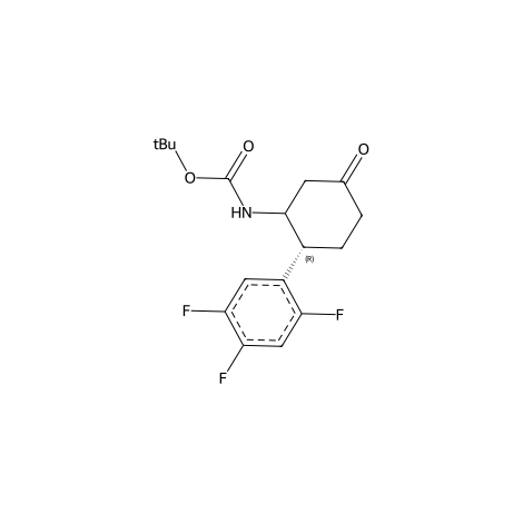 CC(C)(C)OC(=O)NC1CC(=O)CC[C@@H]1c1cc(F)c(F)cc1F